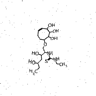 CCNC(=S)NC(COC1CC/C=C\C(O)C(O)C1O)C(O)CC(O)CC